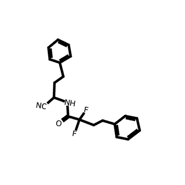 N#CC(CCc1ccccc1)NC(=O)C(F)(F)CCc1ccccc1